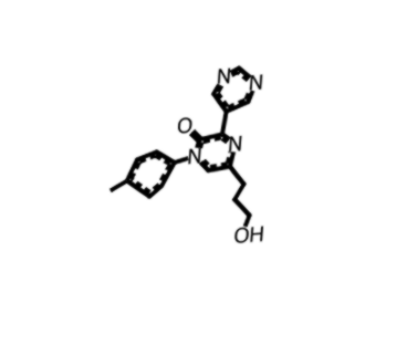 Cc1ccc(-n2cc(CCCO)nc(-c3cncnc3)c2=O)cc1